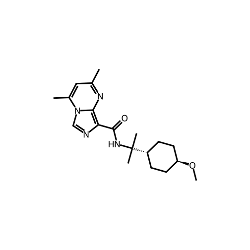 CO[C@H]1CC[C@H](C(C)(C)NC(=O)c2ncn3c(C)cc(C)nc23)CC1